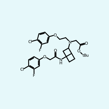 CC(C)(C)OC(=O)CN(CCOc1ccc(Cl)c(F)c1)C1CC2(NC(=O)COc3ccc(Cl)c(F)c3)CCC12